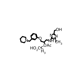 CC(=O)O.CC(=O)OC(CNc1nc(CO)nn1C)COc1cccc(CN2CCCCC2)c1